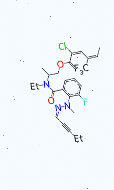 C=C(OCC(C)N(CC)C(=O)c1cccc(F)c1N(C)/N=C\C#CCC)/C(Cl)=C\C(=C/C)C(F)(F)F